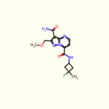 COCc1nn2c(C(=O)NC3CC(C)(F)C3)ccnc2c1C(N)=O